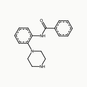 O=C(Nc1ccccc1N1CCNCC1)c1ccccc1